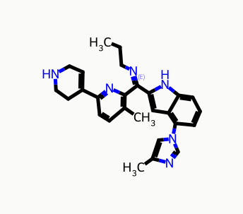 CCC/N=C(/c1cc2c(-n3cnc(C)c3)cccc2[nH]1)c1nc(C2=CCNCC2)ccc1C